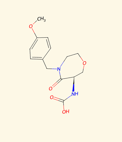 COc1ccc(CN2CCOC[C@@H](NC(=O)O)C2=O)cc1